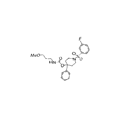 COCCCNC(=O)OC1(c2ccccc2)CCN(S(=O)(=O)c2cccc(F)c2)CC1